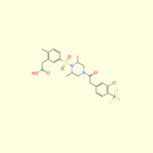 Cc1ccc(S(=O)(=O)N2C(C)CN(C(=O)Cc3ccc(C(F)(F)F)c(Cl)c3)CC2C)cc1CC(=O)O